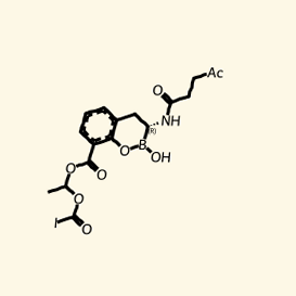 CC(=O)CCC(=O)N[C@H]1Cc2cccc(C(=O)OC(C)OC(=O)I)c2OB1O